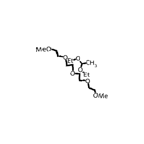 CCOC(C)OCC.COCCOCCOCCOCCOC